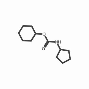 O=C(NC1CCCC1)OC1CCCCC1